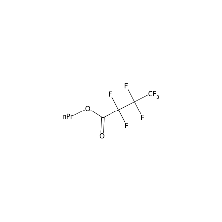 CCCOC(=O)C(F)(F)C(F)(F)C(F)(F)F